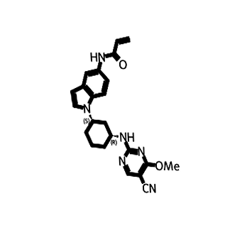 C=CC(=O)Nc1ccc2c(ccn2[C@H]2CCC[C@@H](Nc3ncc(C#N)c(OC)n3)C2)c1